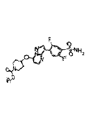 CC(C)OC(=O)N1CCC(Oc2ccnc3c(-c4cc(F)c(S(N)(=O)=O)cc4F)cnn23)CC1